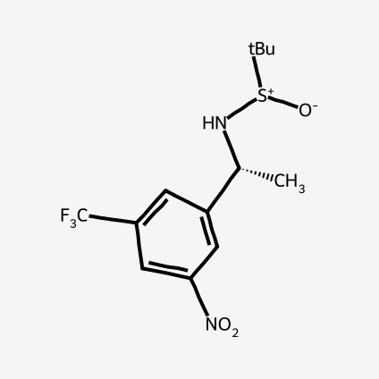 [CH2]C(C)(C)[S+]([O-])N[C@H](C)c1cc([N+](=O)[O-])cc(C(F)(F)F)c1